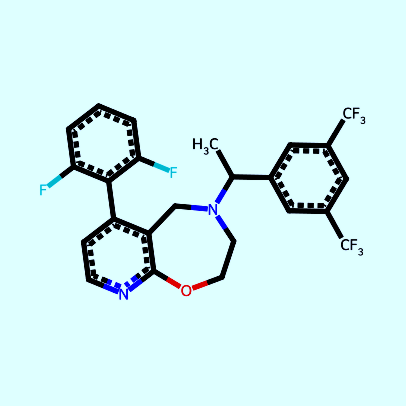 CC(c1cc(C(F)(F)F)cc(C(F)(F)F)c1)N1CCOc2nccc(-c3c(F)cccc3F)c2C1